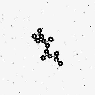 c1ccc(-c2ccc3c(c2)c2ccccc2n3-c2ccc3c(c2)c2cc(-c4ccc5c(c4)c4cc(-c6ccc7oc8cccc(-n9c%10ccccc%10c%10ccccc%109)c8c7c6)ccc4n5-c4ccccc4)ccc2n3-c2ccccc2)cc1